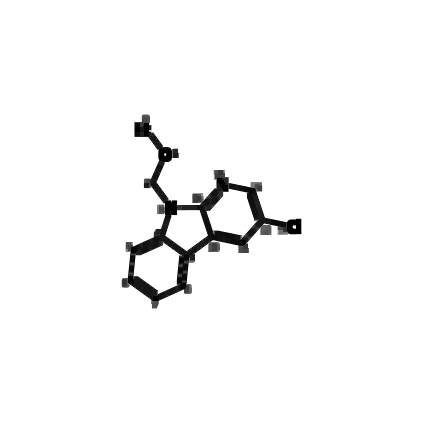 CCOCn1c2ccccc2c2cc(Cl)cnc21